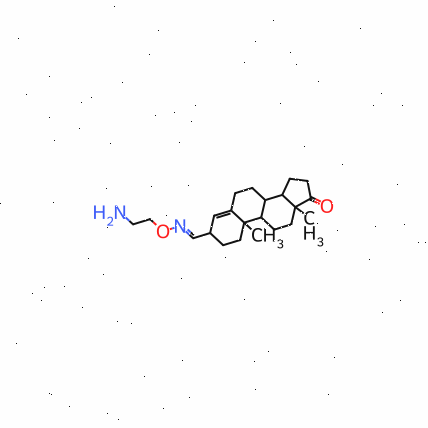 CC12CCC3C(CCC4=CC(C=NOCCN)CCC43C)C1CCC2=O